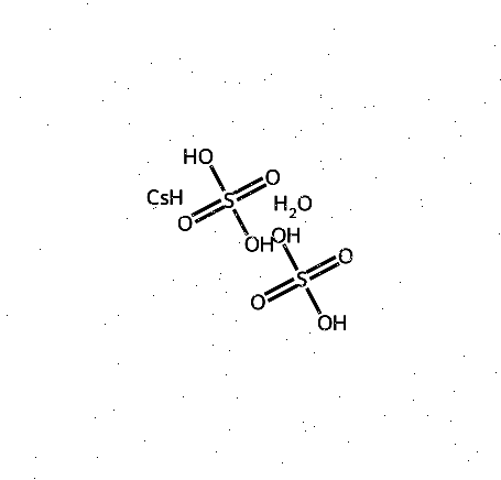 O.O=S(=O)(O)O.O=S(=O)(O)O.[CsH]